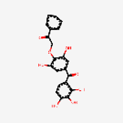 O=C(COc1c(O)cc(C(=O)c2ccc(O)c(O)c2O)cc1O)c1ccccc1